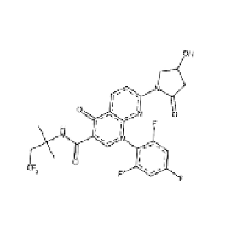 CC(C)(CC(F)(F)F)NC(=O)c1cn(-c2c(F)cc(F)cc2F)c2nc(N3CC(O)CC3=O)ccc2c1=O